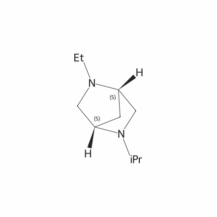 CCN1C[C@@H]2C[C@H]1CN2C(C)C